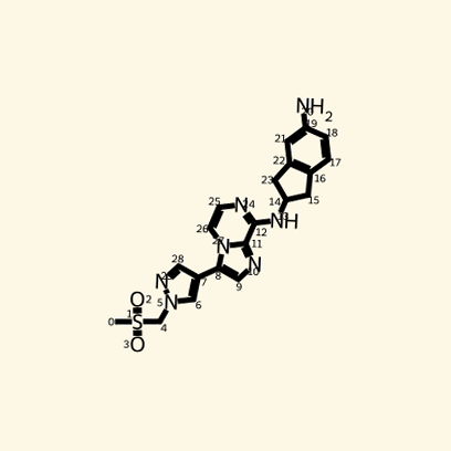 CS(=O)(=O)Cn1cc(-c2cnc3c(NC4Cc5ccc(N)cc5C4)nccn23)cn1